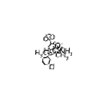 CC(CC(C)(C)[S+](N)[O-])(c1cccc(Cl)c1)c1csc(C2OCCO2)c1